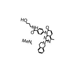 CNC.Cc1nc(N2CCc3ccccc3C2)nc2c1ccc(=O)n2-c1ccc(C(=O)NCCCO)cc1